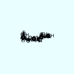 COc1cc2c(Oc3ccc(NC(=O)C(=O)NCc4cc(C(F)(F)F)ccc4Cl)cc3F)ccnc2cc1OCC1CCNCC1